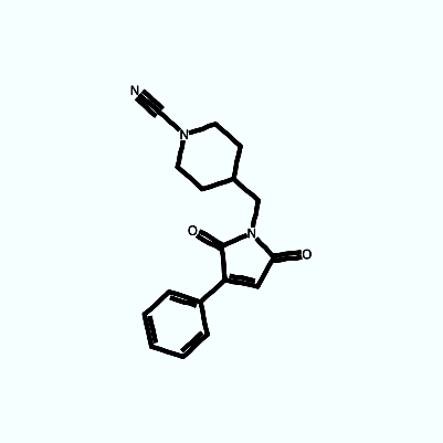 N#CN1CCC(CN2C(=O)C=C(c3ccccc3)C2=O)CC1